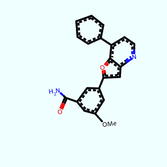 COc1cc(C(N)=O)cc(-c2cc3nccc(-c4ccccc4)c3o2)c1